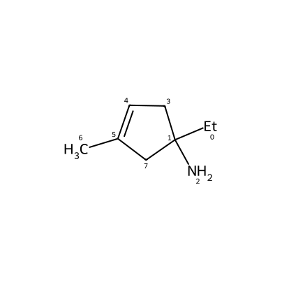 CCC1(N)CC=C(C)C1